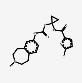 CN1CCc2ccc(NC(=O)OC3(NC(=O)c4ccc(Cl)s4)CC3)cc2CC1